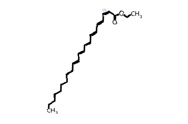 CCCCCCCCCC=CC=CC=CC=CC=C/C=C\C(=O)OCC